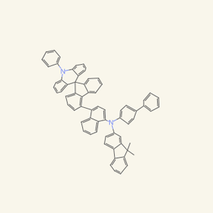 CC1(C)c2ccccc2-c2ccc(N(c3ccc(-c4ccccc4)cc3)c3ccc(-c4cccc5c4-c4ccccc4C54c5ccccc5N(c5ccccc5)c5ccccc54)c4ccccc34)cc21